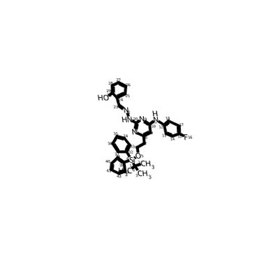 CC(C)(C)[Si](OCCc1cc(Nc2ccc(F)cc2)nc(NN=Cc2ccccc2O)n1)(c1ccccc1)c1ccccc1